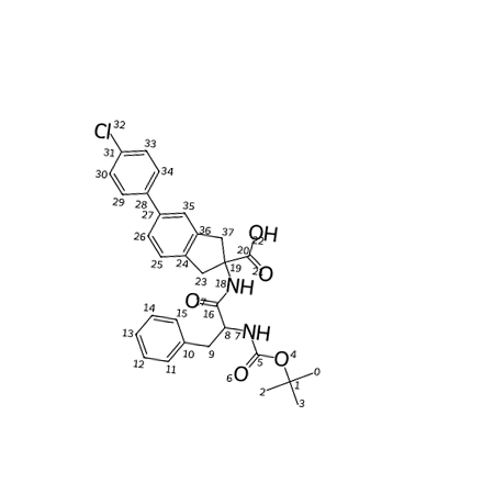 CC(C)(C)OC(=O)NC(Cc1ccccc1)C(=O)NC1(C(=O)O)Cc2ccc(-c3ccc(Cl)cc3)cc2C1